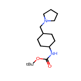 CC(C)(C)OC(=O)NC1CCC(CN2CCCC2)CC1